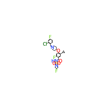 O=C(NS(=O)(=O)N1CC(F)C1)c1cc(C2CC2)c(OC2CCN(Cc3ccc(F)cc3Cl)CC2)cc1F